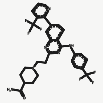 NC(=O)C1CCN(CCc2nc(Nc3ccc(C(F)(F)F)cc3)c3ccc(-c4ncccc4C(F)(F)F)cc3n2)CC1